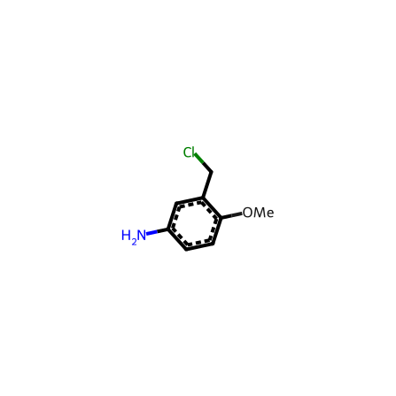 COc1ccc(N)cc1CCl